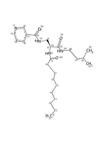 CCCCCCCCCC(=O)N[C@@H](CNC(=O)c1cccnc1)C(=O)N[CH]CC(C)C